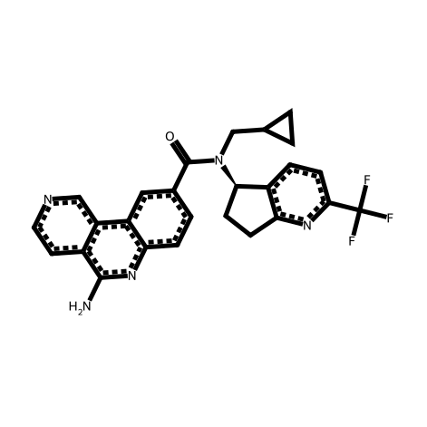 Nc1nc2ccc(C(=O)N(CC3CC3)[C@@H]3CCc4nc(C(F)(F)F)ccc43)cc2c2cnccc12